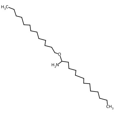 CCCCCCCCCCCCCOC(N)CCCCCCCCCCCC